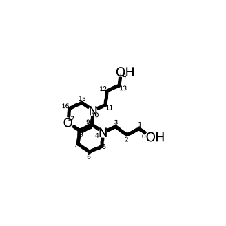 OCCCN1CCCC2=C1N(CCCO)CCO2